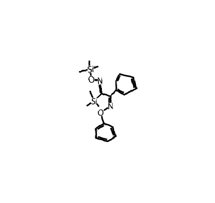 C[Si](C)(C)ON=C(C(=NOc1ccccc1)c1ccccc1)[Si](C)(C)C